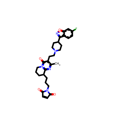 Cc1nc2n(c(=O)c1CCN1CCC(c3noc4cc(F)ccc34)CC1)CCCC2CCCN1C(=O)C=CC1=O